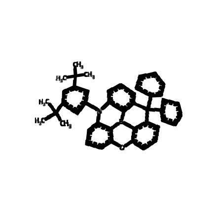 CC(C)(C)c1cc(N2c3cccc4c3B3c5c(cccc5C(c5ccccc5)(c5ccccc5)c5cccc2c53)O4)cc(C(C)(C)C)c1